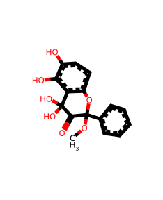 COC1(c2ccccc2)Oc2ccc(O)c(O)c2C(O)(O)C1=O